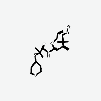 C=CCO/C(=C\C(=C)C(C)(C)COCC)NC(=O)C(C)(C)SC1CCOCC1